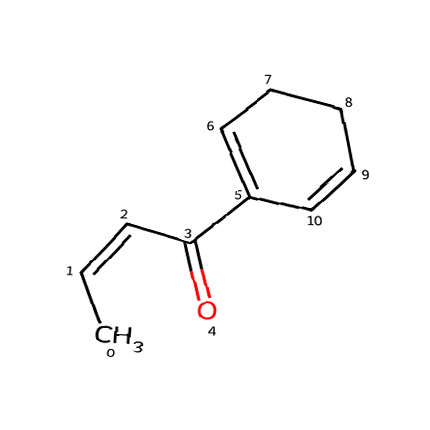 C/C=C\C(=O)C1=CCCC=C1